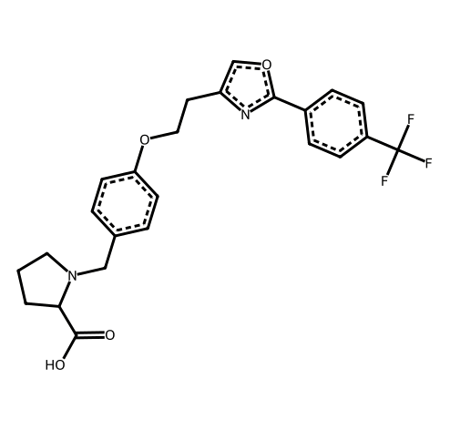 O=C(O)C1CCCN1Cc1ccc(OCCc2coc(-c3ccc(C(F)(F)F)cc3)n2)cc1